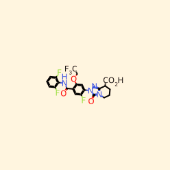 O=C(Nc1c(F)cccc1F)c1cc(F)c(-n2nc3n(c2=O)CCCC3C(=O)O)cc1OCC(F)(F)F